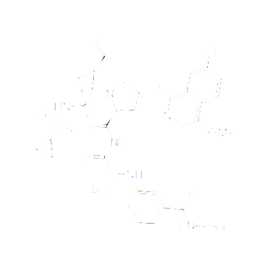 C=C[C@@H]1C[C@@]1(C(=O)NS(=O)(=O)C1CC1)N1C[C@H](Oc2ncc(OC)c3ccc(Cl)cc23)C[C@H]1C(=O)NC(=O)[C@H](Nc1cccc(C(=O)NC(C)(C)C)c1)C(C)(C)C